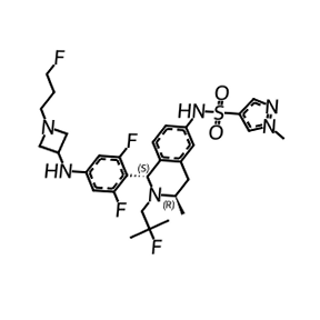 C[C@@H]1Cc2cc(NS(=O)(=O)c3cnn(C)c3)ccc2[C@@H](c2c(F)cc(NC3CN(CCCF)C3)cc2F)N1CC(C)(C)F